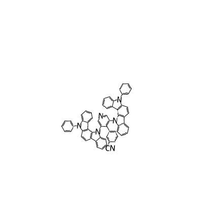 N#Cc1cccc(-c2c(-n3c4ccccc4c4ccc5c(c6ccccc6n5-c5ccccc5)c43)cncc2-n2c3ccccc3c3ccc4c(c5ccccc5n4-c4ccccc4)c32)c1